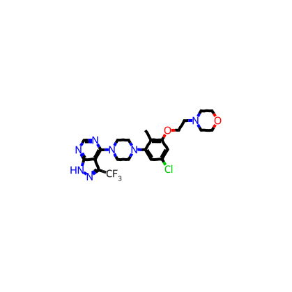 Cc1c(OCCN2CCOCC2)cc(Cl)cc1N1CCN(c2ncnc3[nH]nc(C(F)(F)F)c23)CC1